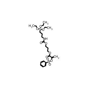 C=C(OS(=O)(=O)c1ccccc1)C(=O)OCCCOC(=O)NCCC[Si](OCC)(OCC)OCC